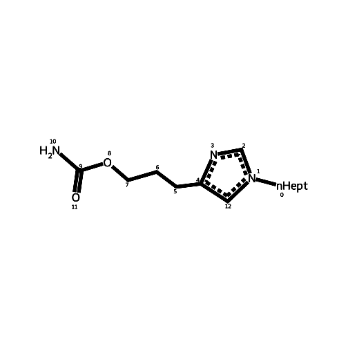 CCCCCCCn1cnc(CCCOC(N)=O)c1